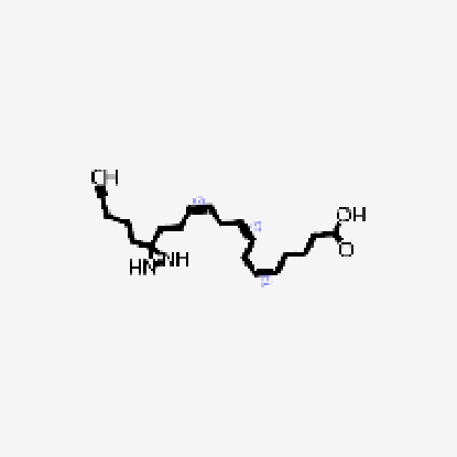 C#CCCCC1(CC/C=C\C/C=C\C/C=C\CCCC(=O)O)NN1